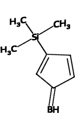 B=C1C=CC([Si](C)(C)C)=C1